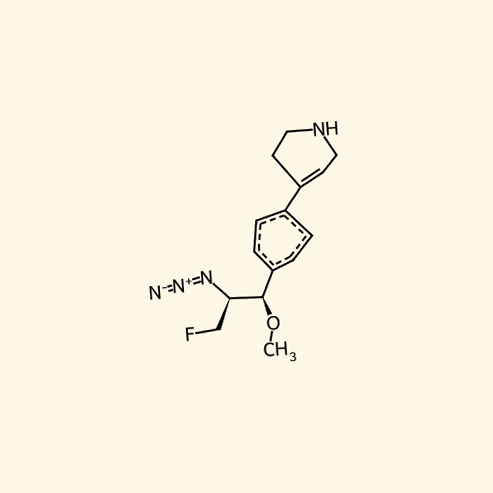 CO[C@H](c1ccc(C2=CCNCC2)cc1)[C@@H](CF)N=[N+]=[N-]